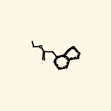 CCOC(=O)Cc1cccc2cnccc12